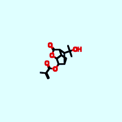 C=C(C)C(=O)OC1C2CC3C1OC(=O)C3C2C(C)(C)O